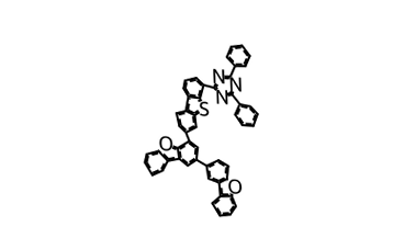 c1ccc(-c2nc(-c3ccccc3)nc(-c3cccc4c3sc3cc(-c5cc(-c6ccc7oc8ccccc8c7c6)cc6c5oc5ccccc56)ccc34)n2)cc1